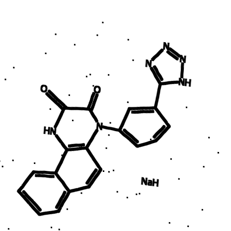 O=c1[nH]c2c3ccccc3ccc2n(-c2cccc(-c3nnn[nH]3)c2)c1=O.[NaH]